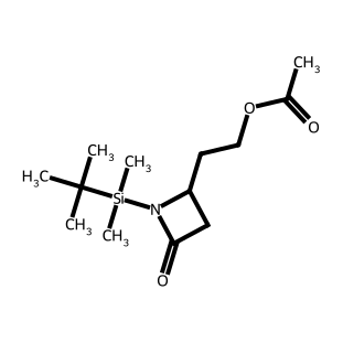 CC(=O)OCCC1CC(=O)N1[Si](C)(C)C(C)(C)C